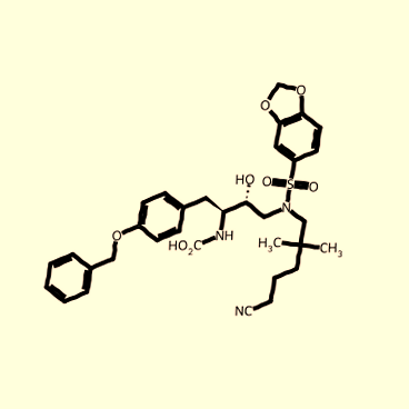 CC(C)(CCCC#N)CN(C[C@@H](O)[C@H](Cc1ccc(OCc2ccccc2)cc1)NC(=O)O)S(=O)(=O)c1ccc2c(c1)OCO2